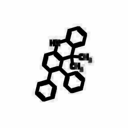 CC1(C)c2ccccc2Nc2ccc(-c3ccccc3)c(-c3ccccc3)c21